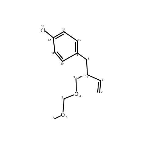 C=C[C@H](COCOC)Cc1ccc(Cl)cc1